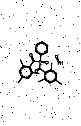 Cc1cc(C)c(C(=O)P(=O)(C(=O)c2c(C)cc(C)cc2C)c2ccccc2)c(C)c1.O=P